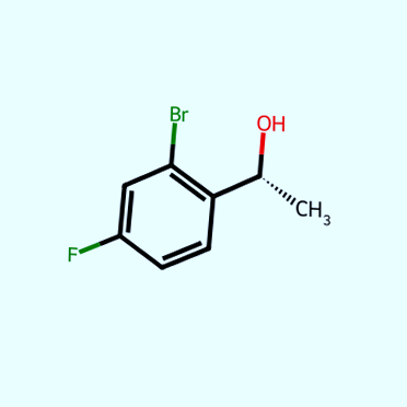 C[C@@H](O)c1ccc(F)cc1Br